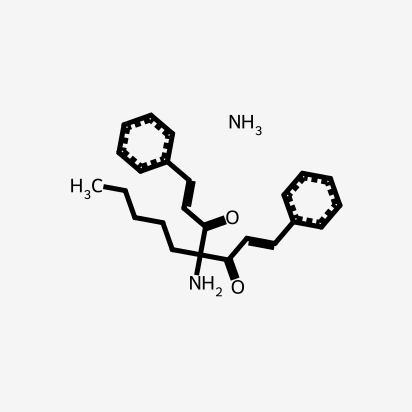 CCCCCC(N)(C(=O)C=Cc1ccccc1)C(=O)C=Cc1ccccc1.N